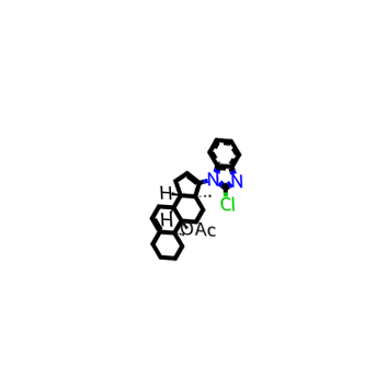 CC(=O)O[C@]12CC[C@]3(C)C(n4c(Cl)nc5ccccc54)=CC[C@H]3[C@@H]1CC=C1CCCC[C@@]12C